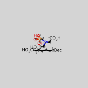 CCCCCCCCCCCCCCCC(=O)O.O=C(O)CN(CC(=O)O)CP(=O)(O)O